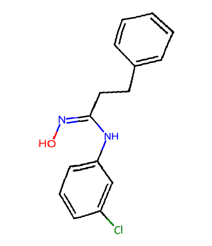 O/N=C(/CCc1ccccc1)Nc1cccc(Cl)c1